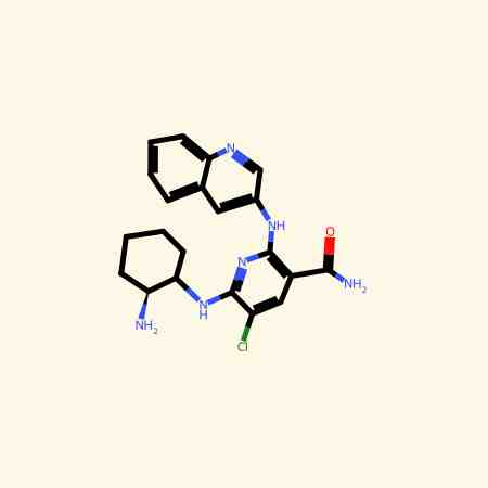 NC(=O)c1cc(Cl)c(NC2CCCC[C@@H]2N)nc1Nc1cnc2ccccc2c1